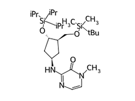 CC(C)[Si](O[C@H]1C[C@H](Nc2nccn(C)c2=O)C[C@@H]1CO[Si](C)(C)C(C)(C)C)(C(C)C)C(C)C